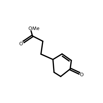 COC(=O)CCC1C=CC(=O)CC1